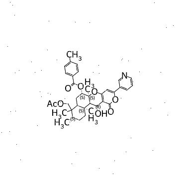 CC(=O)OCC1(C)C2C[C@H](OC(=O)c3ccc(C)cc3)[C@@]3(C)Oc4cc(-c5cccnc5)oc(=O)c4[C@H](O)C3[C@@]2(C)CC[C@@H]1C